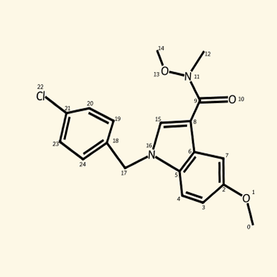 COc1ccc2c(c1)c(C(=O)N(C)OC)cn2Cc1ccc(Cl)cc1